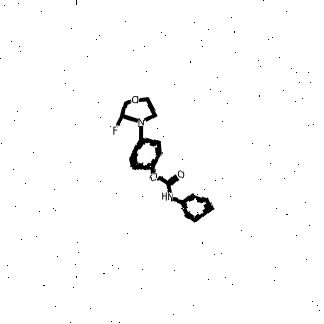 O=C(Nc1ccccc1)Oc1ccc(N2CCOCC2F)cc1